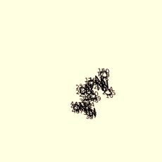 c1ccc(-c2nc(-c3ccccc3)nc(-c3cccc(-n4c5ccccc5c5c(-c6ccc7c(c6)c6ncccc6n7-c6ccccc6)cccc54)c3)n2)cc1